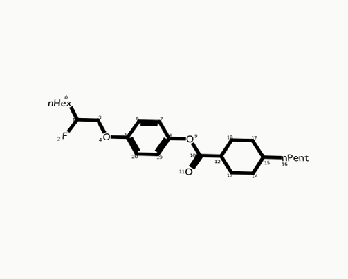 CCCCCCC(F)COc1ccc(OC(=O)C2CCC(CCCCC)CC2)cc1